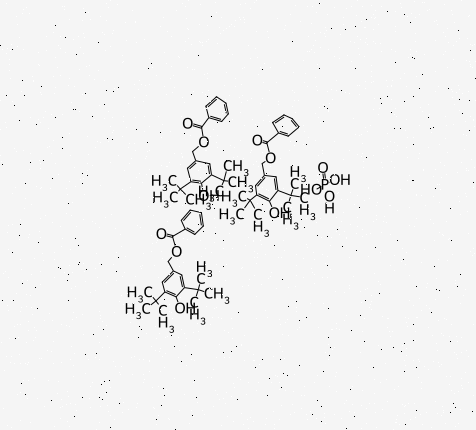 CC(C)(C)c1cc(COC(=O)c2ccccc2)cc(C(C)(C)C)c1O.CC(C)(C)c1cc(COC(=O)c2ccccc2)cc(C(C)(C)C)c1O.CC(C)(C)c1cc(COC(=O)c2ccccc2)cc(C(C)(C)C)c1O.O=P(O)(O)O